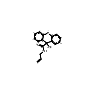 C=CCNC(=O)C1(O)c2ccccc2Oc2ccccc21